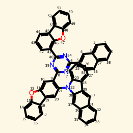 c1ccc2cc(-c3nc(-c4cc5oc6ccccc6c5cc4-n4c5ccccc5c5cc6ccccc6cc54)nc(-c4cccc5c4oc4ccccc45)n3)ccc2c1